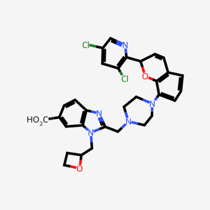 O=C(O)c1ccc2nc(CN3CCN(c4cccc5c4OC(c4ncc(Cl)cc4Cl)C=C5)CC3)n(CC3CCO3)c2c1